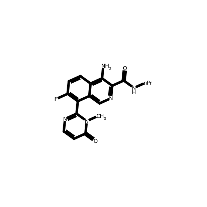 CCCNC(=O)c1ncc2c(-c3nccc(=O)n3C)c(F)ccc2c1N